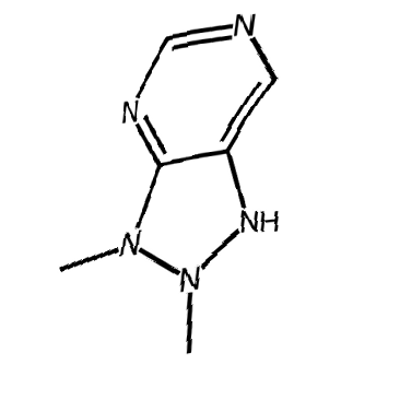 CN1Nc2cncnc2N1C